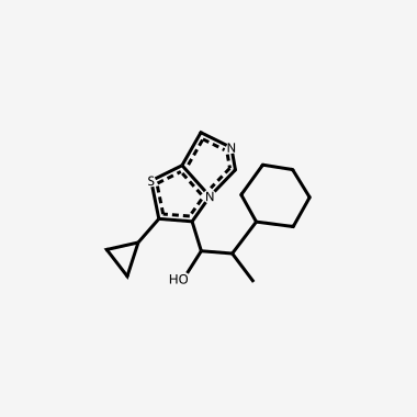 CC(C1CCCCC1)C(O)c1c(C2CC2)sc2cncn12